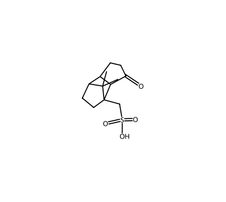 CC1(C)C2CCC1(CS(=O)(=O)O)C1C(=O)CCC21